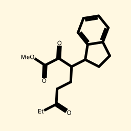 CCC(=O)CCC(C(=O)C(=O)OC)C1CCc2ccccc21